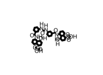 O=C(Nc1cccc(C(=O)Nc2cccc3c(S(=O)(=O)O)ccc(O)c23)c1)Nc1cccc(C(=O)Nc2cccc3c(S(=O)(=O)O)ccc(O)c23)c1